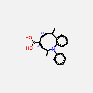 CC1/C=C\C(B(O)O)=C/C(C)N(c2ccccc2)c2ccccc21